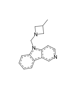 CC1CN(Cn2c3ccccc3c3cnccc32)C1